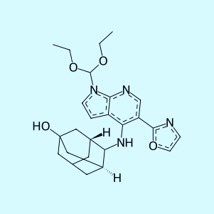 CCOC(OCC)n1ccc2c(NC3[C@@H]4CC5C[C@H]3CC(O)(C5)C4)c(-c3ncco3)cnc21